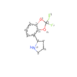 FC1(F)Oc2cccc(C3CCCN3)c2O1